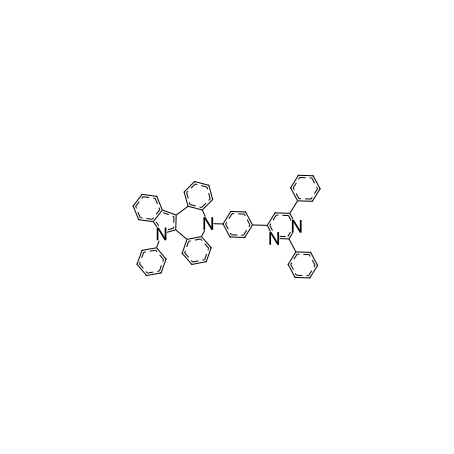 c1ccc(-c2cc(-c3ccc(N4c5ccccc5-c5c(n(-c6ccccc6)c6ccccc56)-c5ccccc54)cc3)nc(-c3ccccc3)n2)cc1